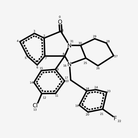 O=C1c2ccccc2C2(c3ccc(Cl)cc3)N(Cc3ccc(F)cc3)C3CCCCC3N12